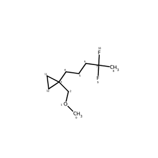 COCC1(CCCC(C)(F)F)CC1